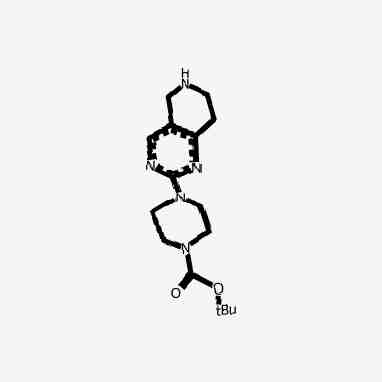 CC(C)(C)OC(=O)N1CCN(c2ncc3c(n2)CCNC3)CC1